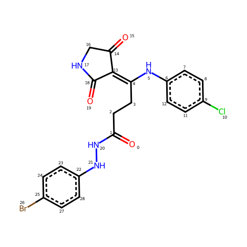 O=C(CCC(Nc1ccc(Cl)cc1)=C1C(=O)CNC1=O)NNc1ccc(Br)cc1